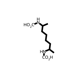 CC(CCCCC(C)NC(=O)O)NC(=O)O